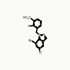 O=C(O)c1cccc(Cn2ncc3cc(Cl)cc(Br)c32)c1F